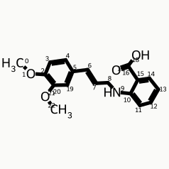 COc1ccc(/C=C/CNc2ccccc2C(=O)O)cc1OC